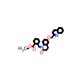 CCOC(=O)c1ccccc1CN1C(=O)CCc2cc(OCc3ccc4ccccc4n3)ccc21